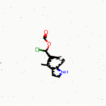 Cc1c(C(Cl)OC=O)ccc2[nH]ccc12